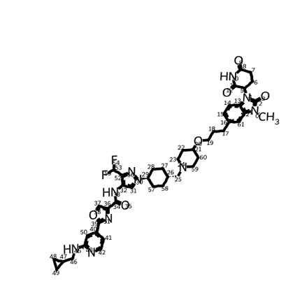 Cn1c(=O)n(C2CCC(=O)NC2=O)c2ccc(CCCOC3CCN(C[C@H]4CC[C@H](n5cc(NC(=O)c6coc(-c7ccnc(NCC8CC8)c7)n6)c(C(F)F)n5)CC4)CC3)cc21